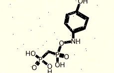 O=P(O)(O)CP(=O)(O)ONc1ccc(O)cc1